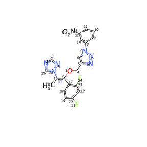 C/C(=C(/OCc1cn(-c2cccc([N+](=O)[O-])c2)nn1)c1ccc(F)cc1F)n1cncn1